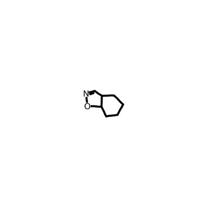 C1=NOC2CCCCC12